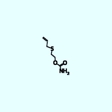 C=CCSCCOC(N)=O